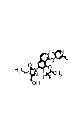 CCn1c(CO)nn(-c2cc(O[C@@H](C)C(F)(F)F)c3c(Oc4cc(Cl)ncc4F)nccc3c2)c1=O